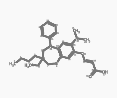 CCCCC1(CC)CSc2cc(O/C=C/C(=O)O)c(N(C)C)cc2N(c2ccccc2)C1